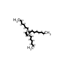 CCCCCCCc1n(CCCCCC)cc[n+]1CCCCCC